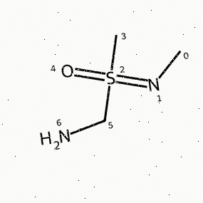 CN=S(C)(=O)CN